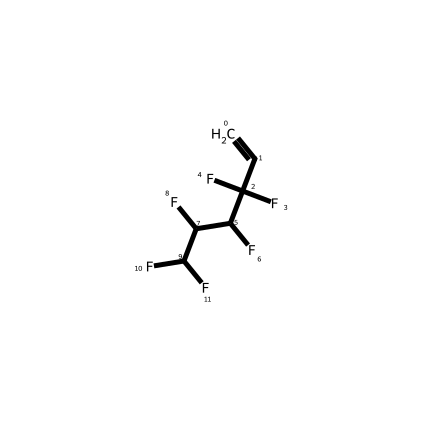 C=CC(F)(F)C(F)C(F)C(F)F